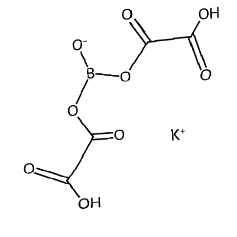 O=C(O)C(=O)OB([O-])OC(=O)C(=O)O.[K+]